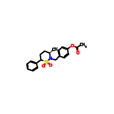 CC(=O)Oc1ccc(CN2[C@@H](C)CCC(c3ccccc3)S2(=O)=O)cc1